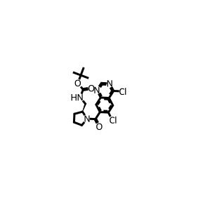 CC(C)(C)OC(=O)NC[C@@H]1CCCN1C(=O)c1cc2ncnc(Cl)c2cc1Cl